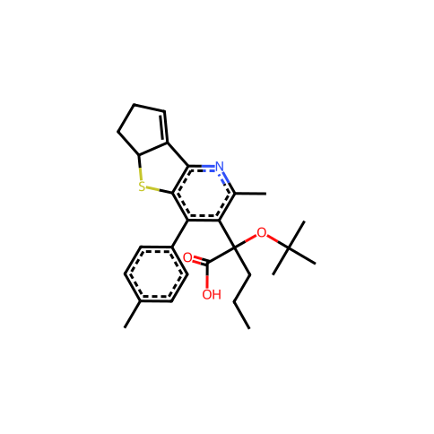 CCCC(OC(C)(C)C)(C(=O)O)c1c(C)nc2c(c1-c1ccc(C)cc1)SC1CCC=C21